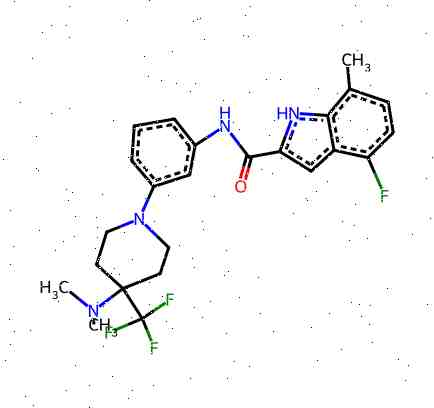 Cc1ccc(F)c2cc(C(=O)Nc3cccc(N4CCC(N(C)C)(C(F)(F)F)CC4)c3)[nH]c12